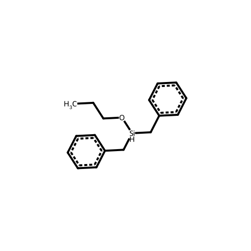 CCCO[SiH](Cc1ccccc1)Cc1ccccc1